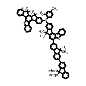 CCCCCCCC1(CCCCCCC)c2ccccc2-c2ccc(-c3ccc4c(c3)C(C)(C)c3cc(-c5cc6c(c7c5oc5ccccc57)-c5ccc(N(c7ccc8c(c7)C(C)(C)c7c9c(c%10oc%11ccccc%11c%10c7-8)-c7ccccc7C9(C)C)c7ccc(C)cc7C)cc5C6(C)C)ccc3-4)cc21